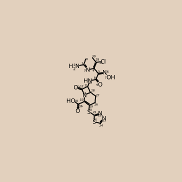 C\C(N)=N/C(C(=N/O)/C(=O)NC1C(=O)N2C(C(=O)O)=C(Sc3nncs3)CCC12)=C(\C)Cl